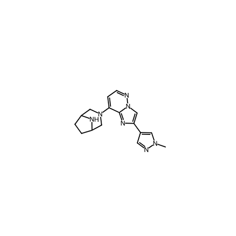 Cn1cc(-c2cn3nccc(N4CC5CCC(C4)N5)c3n2)cn1